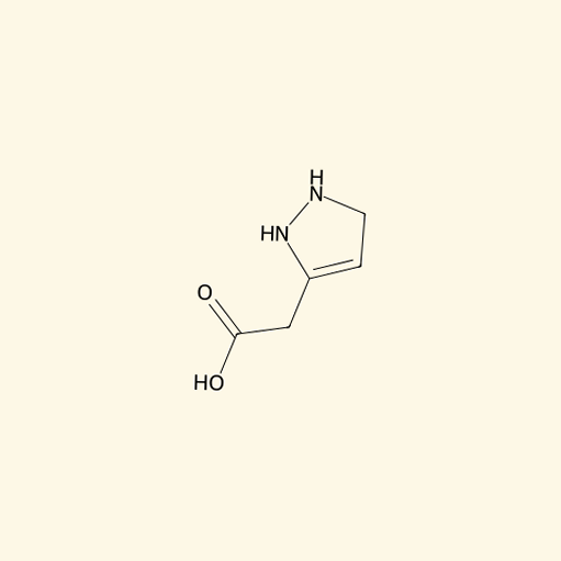 O=C(O)CC1=CCNN1